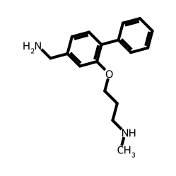 CNCCCOc1cc(CN)ccc1-c1ccccc1